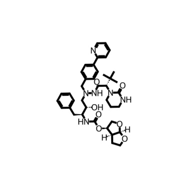 CC(C)(C)[C@@H](C(=O)NN(Cc1ccc(-c2ccccn2)cc1)C[C@H](O)[C@H](Cc1ccccc1)NC(=O)O[C@H]1CO[C@H]2OCC[C@H]21)N1CCCNC1=O